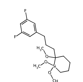 COC1(CCCc2cc(F)cc(F)c2)CCCC[Si]1(OC)OC